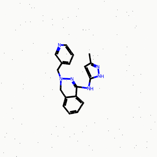 Cc1cc(NC2=NN(Cc3cccnc3)Cc3ccccc32)[nH]n1